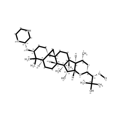 CCO[C@@H]([C@H]1C[C@@H](C)[C@H]2[C@H](O1)[C@H](O)[C@@]1(N)[C@@H]3CC[C@H]4C(C)(C)[C@@H](O[C@H]5CNCCO5)CC[C@@]45C[C@@]35CC[C@]21C)C(C)(C)O